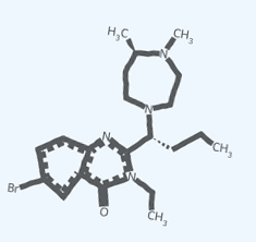 CCC[C@H](c1nc2ccc(Br)cc2c(=O)n1CC)N1CC[C@@H](C)N(C)CC1